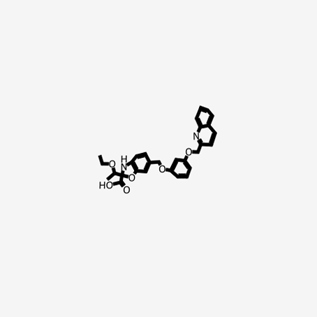 CCOC(C)C1(C(=O)O)Nc2ccc(COc3cccc(OCc4ccc5ccccc5n4)c3)cc2O1